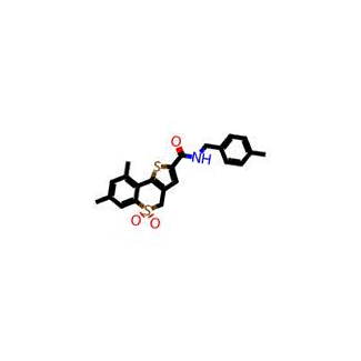 Cc1ccc(CNC(=O)c2cc3c(s2)-c2c(C)cc(C)cc2S(=O)(=O)C3)cc1